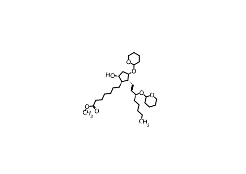 CCCCC[C@@H](/C=C/[C@@H]1[C@@H](CCCCCCC(=O)OC)[C@@H](O)C[C@H]1OC1CCCCO1)OC1CCCCO1